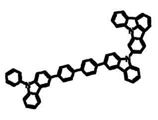 c1ccc(-n2c3ccccc3c3cc(-c4ccc(-c5ccc(-c6ccc7c(c6)c6ccccc6n7-c6ccc7c8cccc9c%10ccccc%10n(c7c6)c98)cc5)cc4)ccc32)cc1